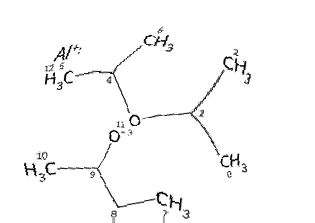 CC(C)OC(C)C.CCC(C)[O-].[Al+]